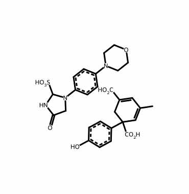 CC1=CC(C(=O)O)(c2ccc(O)cc2)CC(C(=O)O)=C1.O=C1CN(c2ccc(N3CCOCC3)cc2)C(S(=O)(=O)O)N1